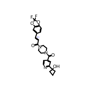 O=C(/C=C/c1ccc2c(c1)OC(F)(F)O2)N1CCN(C(=O)c2ccnc(C3(O)CCC3)c2)CC1